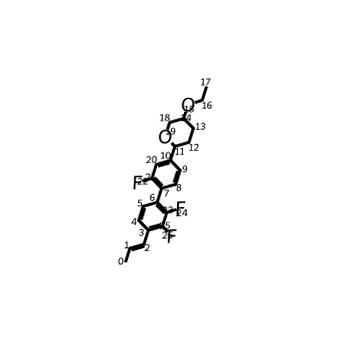 C/C=C/c1ccc(-c2ccc(C3CCC(OCC)CO3)cc2F)c(F)c1F